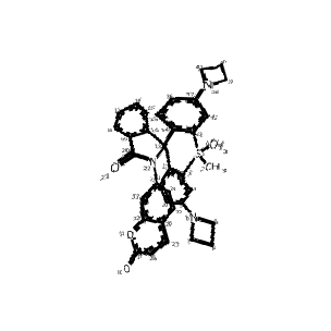 CS1(C)c2cc(N3CCC3)ccc2C2(c3ccccc3C(=O)N2c2ccc3ccc(=O)oc3c2)c2ccc(N3CCC3)cc21